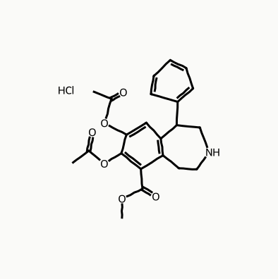 COC(=O)c1c2c(cc(OC(C)=O)c1OC(C)=O)C(c1ccccc1)CNCC2.Cl